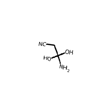 N#CCC(N)(O)O